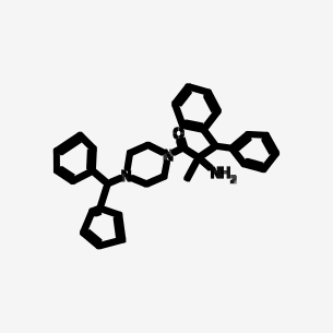 CC(N)(C(=O)N1CCN(C(c2ccccc2)c2ccccc2)CC1)C(c1ccccc1)c1ccccc1